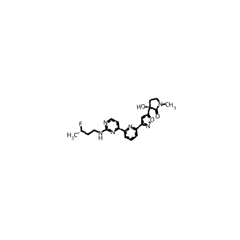 C[C@H](F)CCNc1nccc(-c2cccc(-c3cc([C@]4(O)CCN(C)C4=O)on3)n2)n1